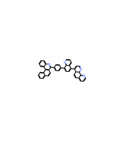 C1=CC2C(c3ccc(-c4ccc(-c5nc6ccccc6c6c5ccc5ccccc56)cc4)c4ncccc34)=CC=NC2c2ncccc21